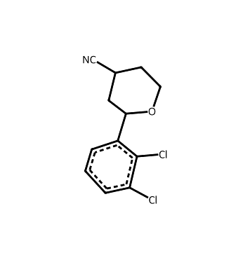 N#CC1CCOC(c2cccc(Cl)c2Cl)C1